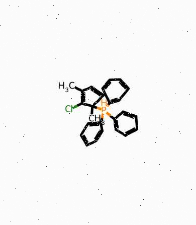 CC1=C(Cl)C(C)([PH](c2ccccc2)(c2ccccc2)c2ccccc2)C=C1